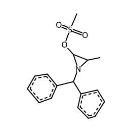 CC1C(OS(C)(=O)=O)N1C(c1ccccc1)c1ccccc1